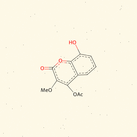 COc1c(OC(C)=O)c2cccc(O)c2oc1=O